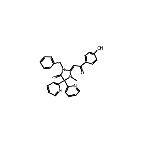 CN1C(=CC(=O)c2ccc(C#N)cc2)N(Cc2ccccc2)C(=O)C1(c1ccccn1)c1ccccn1